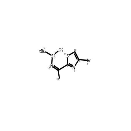 C/C(=N/[S+]([O-])C(C)(C)C)c1nc(Br)cs1